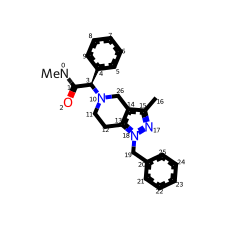 CNC(=O)[C@@H](c1ccccc1)N1CCc2c(c(C)nn2Cc2ccccc2)C1